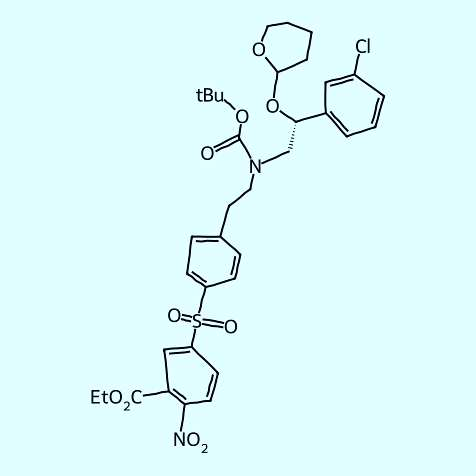 CCOC(=O)c1cc(S(=O)(=O)c2ccc(CCN(C[C@H](OC3CCCCO3)c3cccc(Cl)c3)C(=O)OC(C)(C)C)cc2)ccc1[N+](=O)[O-]